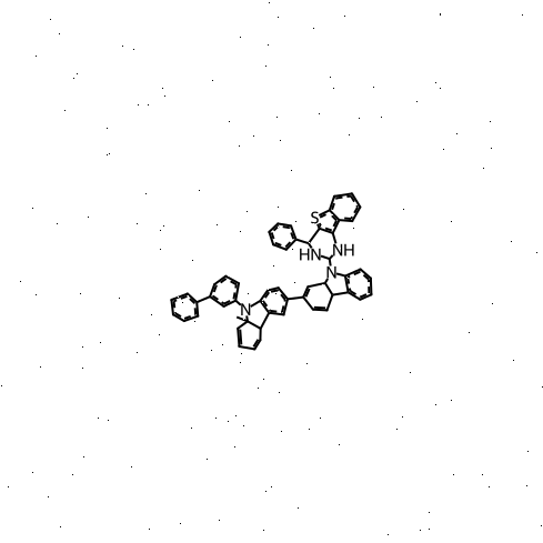 CC12C=CC=CC1c1cc(C3=CC4C(C=C3)c3ccccc3N4C3Nc4c(sc5ccccc45)C(c4ccccc4)N3)ccc1N2c1cccc(-c2ccccc2)c1